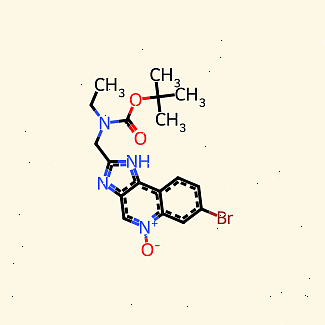 CCN(Cc1nc2c[n+]([O-])c3cc(Br)ccc3c2[nH]1)C(=O)OC(C)(C)C